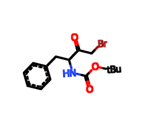 CC(C)(C)OC(=O)NC(Cc1ccccc1)C(=O)CBr